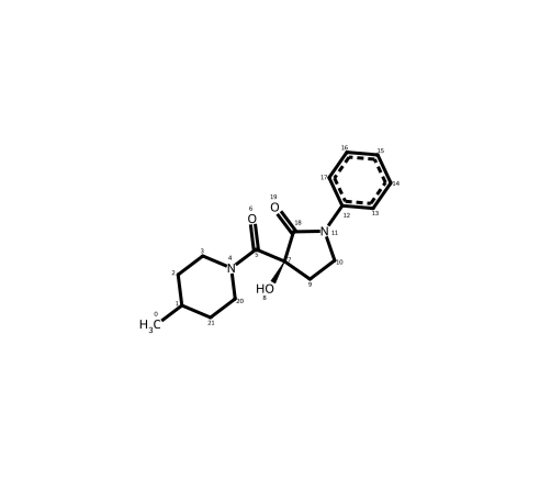 CC1CCN(C(=O)[C@@]2(O)CCN(c3ccccc3)C2=O)CC1